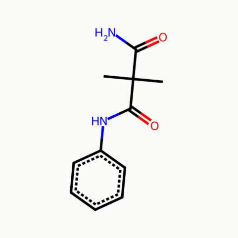 CC(C)(C(N)=O)C(=O)Nc1ccccc1